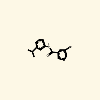 CC(C)c1cccc(NC(=O)c2cccc(Br)c2)c1